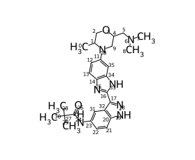 CC1COC(CN(C)C)CN1c1ccc2nc(-c3n[nH]c4ccc(NC(=O)C(C)(C)C)cc34)[nH]c2c1